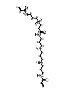 C=CC(=O)NCCCNCCCNCCCNC(=O)CC[N+](C)(C)CCCNC(=O)C=C